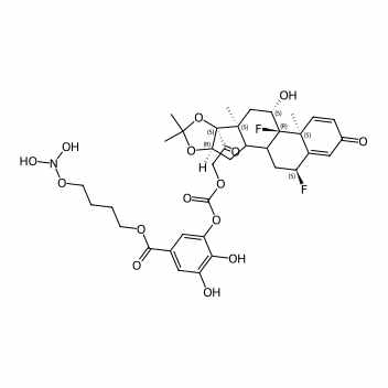 CC1(C)O[C@@H]2CC3C4C[C@H](F)C5=CC(=O)C=C[C@]5(C)[C@@]4(F)[C@@H](O)C[C@]3(C)[C@]2(C(=O)COC(=O)Oc2cc(C(=O)OCCCCON(O)O)cc(O)c2O)O1